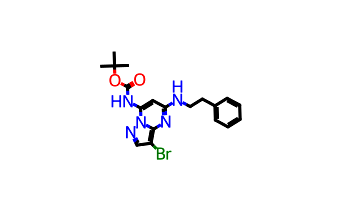 CC(C)(C)OC(=O)Nc1cc(NCCc2ccccc2)nc2c(Br)cnn12